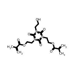 C=C(C)C(=O)OCCn1c(=O)n(CCO)c(=O)n(CCOC(=O)C(=C)C)c1=O